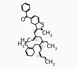 C=C/C=C\C=C(/CC1=C(C)C=CCC1)[C@H](CC)CC(=C/C)/C=C1\C(=C)SC2=CC=C(C(=O)c3ccccc3)CC21